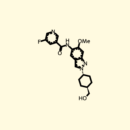 COc1cc2nn([C@H]3CC[C@H](CO)CC3)cc2cc1NC(=O)c1cncc(F)c1